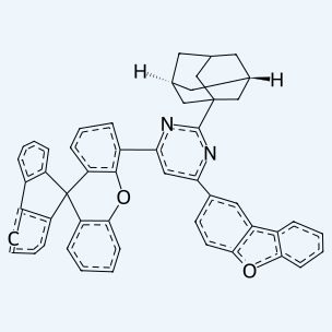 c1ccc2c(c1)Oc1c(-c3cc(-c4ccc5oc6ccccc6c5c4)nc(C45CC6C[C@H](C4)C[C@H](C6)C5)n3)cccc1C21c2ccccc2-c2ccccc21